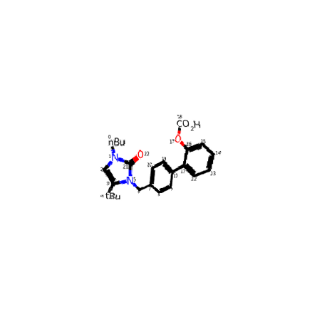 CCCCn1cc(C(C)(C)C)n(Cc2ccc(-c3ccccc3OC(=O)O)cc2)c1=O